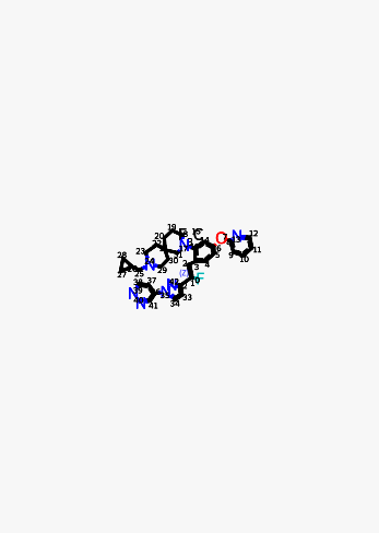 F/C(=C\c1ccc(Oc2ccccn2)c(C(F)(F)F)c1N1CCCC2(CCN(CC3CC3)CC2)C1)c1ccn(-c2ccnnc2)n1